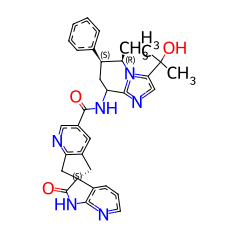 C[C@@H]1[C@H](c2ccccc2)CC(NC(=O)c2cnc3c(c2)C[C@@]2(C3)C(=O)Nc3ncccc32)c2ncc(C(C)(C)O)n21